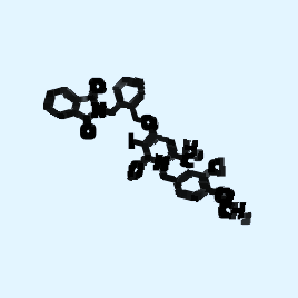 COc1ccc(Cn2c(C)cc(OCc3ccccc3CN3C(=O)c4ccccc4C3=O)c(I)c2=O)cc1Cl